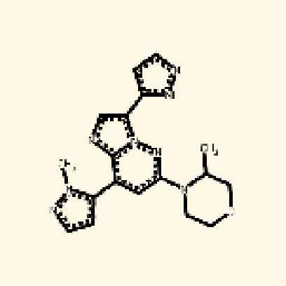 CC1COCCN1c1cc(-c2ccnn2C)c2ncc(-c3ccn[nH]3)n2n1